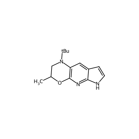 CC1CN(C(C)(C)C)c2cc3cc[nH]c3nc2O1